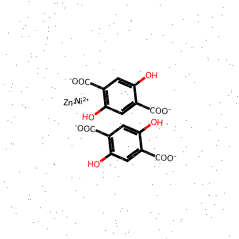 O=C([O-])c1cc(O)c(C(=O)[O-])cc1O.O=C([O-])c1cc(O)c(C(=O)[O-])cc1O.[Ni+2].[Zn+2]